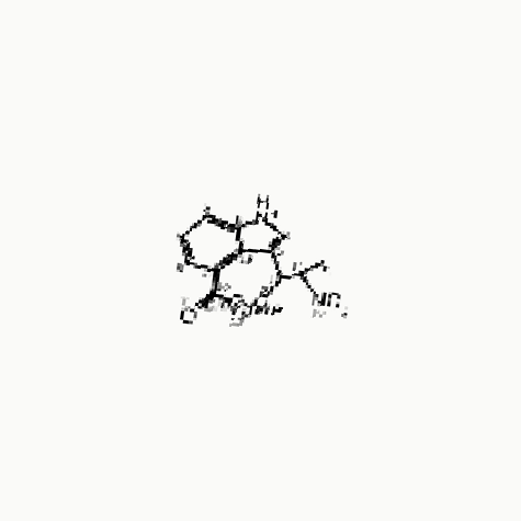 CCOC(=O)C(c1c[nH]c2cccc(C(=O)OC)c12)C(C)[N+](=O)[O-]